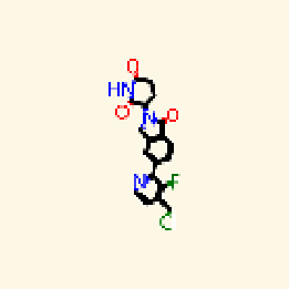 O=C1CCC(N2Cc3cc(-c4nccc(CCl)c4F)ccc3C2=O)C(=O)N1